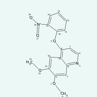 COc1cc2nccc(Oc3ccccc3[N+](=O)[O-])c2cc1OC